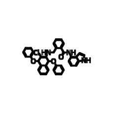 O=C(Nc1cccc2[nH]ccc12)c1ccccc1CNC1=C(Cl)C(Oc2ccccc2)c2ccccc2C1Oc1ccccc1